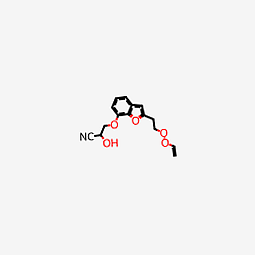 C=COOCCc1cc2cccc(OCC(O)C#N)c2o1